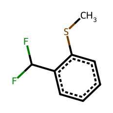 CSc1ccccc1C(F)F